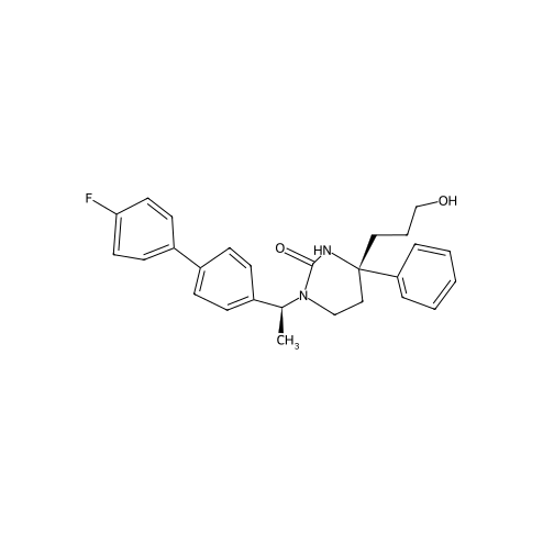 C[C@@H](c1ccc(-c2ccc(F)cc2)cc1)N1CC[C@@](CCCO)(c2ccccc2)NC1=O